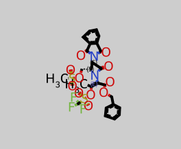 C/C(OS(=O)(=O)C(F)(F)F)=C(/C(=O)OCc1ccccc1)N1C(=O)[C@@H](N2C(=O)c3ccccc3C2=O)[C@H]1COS(C)(=O)=O